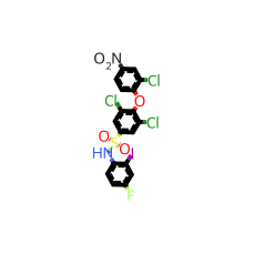 O=[N+]([O-])c1ccc(Oc2c(Cl)cc(S(=O)(=O)Nc3ccc(F)cc3I)cc2Cl)c(Cl)c1